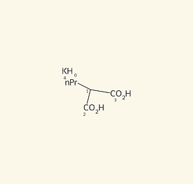 CCCC(C(=O)O)C(=O)O.[KH]